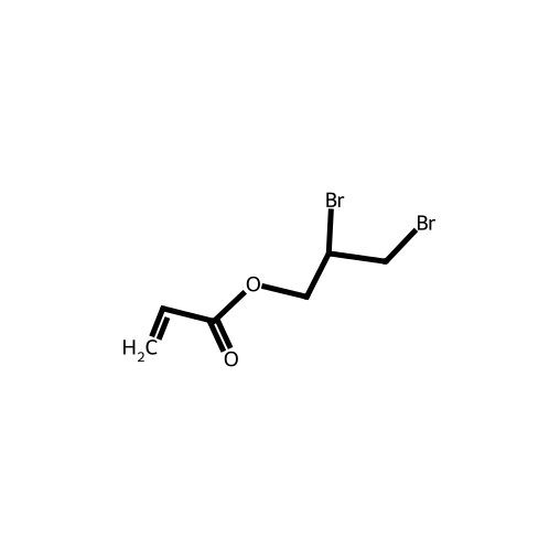 C=CC(=O)OCC(Br)CBr